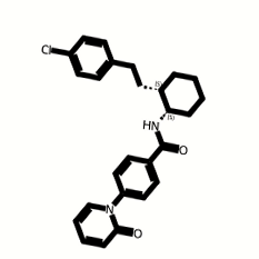 O=C(N[C@H]1CCCC[C@H]1CCc1ccc(Cl)cc1)c1ccc(-n2ccccc2=O)cc1